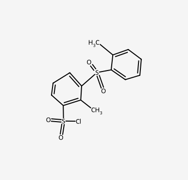 Cc1ccccc1S(=O)(=O)c1cccc(S(=O)(=O)Cl)c1C